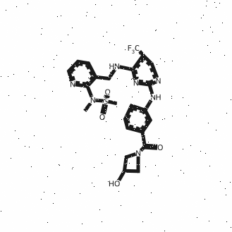 CN(c1ncccc1CNc1nc(Nc2cccc(C(=O)N3CC(O)C3)c2)ncc1C(F)(F)F)S(C)(=O)=O